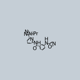 CC(C)n1cnnc1-c1cccc(NC(=O)c2cccc(Nc3cnco3)c2)n1